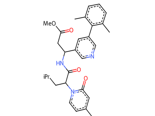 COC(=O)CC(NC(=O)C(CC(C)C)n1ccc(C)cc1=O)c1cncc(-c2c(C)cccc2C)c1